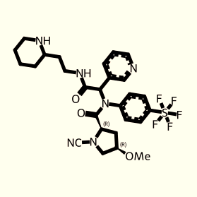 CO[C@@H]1C[C@H](C(=O)N(c2ccc(S(F)(F)(F)(F)F)cc2)C(C(=O)NCCC2CCCCN2)c2cccnc2)N(C#N)C1